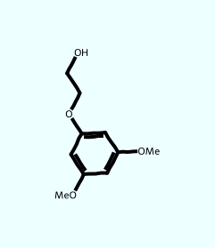 COc1cc(OC)cc(OCCO)c1